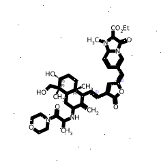 C=C1C(NC(C)C(=O)N2CCOCC2)CC2[C@](C)(CC[C@@H](O)[C@@]2(C)CO)C1/C=C/C1=CC(=C\C2=CN3C(=O)C(C(=O)OCC)N(C)C3C=C2)/OC1=O